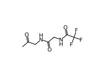 CC(=O)CNC(=O)CNC(=O)C(F)(F)F